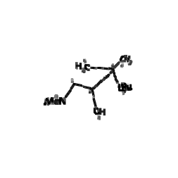 CNCC(O)C(C)(C)C(C)(C)C